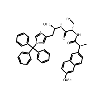 COc1ccc2cc([C@H](C)C(=O)N[C@@H](CC(C)C)C(=O)N[C@H](C=O)Cc3cn(C(c4ccccc4)(c4ccccc4)c4ccccc4)cn3)ccc2c1